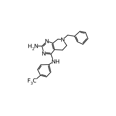 Nc1nc2c(c(Nc3ccc(C(F)(F)F)cc3)n1)CCN(Cc1ccccc1)C2